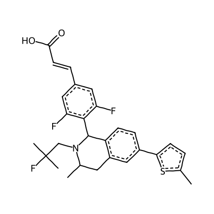 Cc1ccc(-c2ccc3c(c2)CC(C)N(CC(C)(C)F)C3c2c(F)cc(/C=C/C(=O)O)cc2F)s1